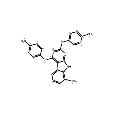 CNc1cccc2c1[nH]c1nc(Oc3cnc(N)nc3)nc(Oc3cnc(N)nc3)c12